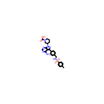 Cc1ccc(S(=O)(=O)NCc2ccc(-c3nn([C@@H]4CCCN(C(=O)O)C4)c4ncnc(N)c34)cc2)cc1